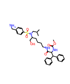 COC(=O)NC(C(=O)NCCCCC(CO)N(CC(C)C)S(=O)(=O)c1ccc(CN)cc1)C(c1ccccc1)c1ccccc1